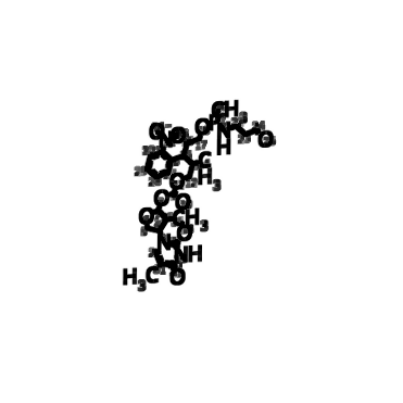 Cc1cn(C2COC(OC(=O)OCC(C)C(CCOP(C)NCCC=O)c3ccccc3[N+](=O)[O-])C2C)c(=O)[nH]c1=O